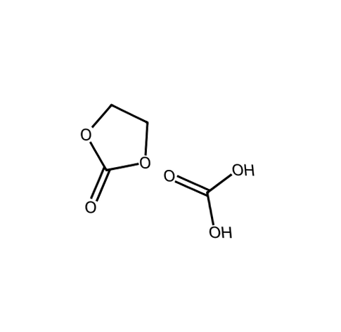 O=C(O)O.O=C1OCCO1